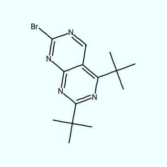 CC(C)(C)c1nc(C(C)(C)C)c2cnc(Br)nc2n1